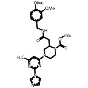 CCCCOC(=O)N1CCN(c2cc(C)nc(-n3ccnc3)n2)CC1CC(=O)NCc1ccc(OC)c(OC)c1